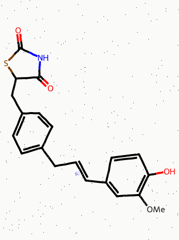 COc1cc(/C=C/Cc2ccc(CC3SC(=O)NC3=O)cc2)ccc1O